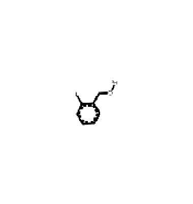 [2H]OCc1ccccc1I